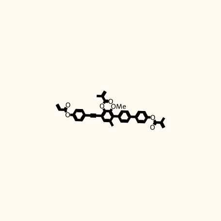 C=CC(=O)Oc1ccc(C#Cc2cc(C)c(-c3ccc(-c4ccc(OC(=O)C(=C)C)cc4)cc3)c(OC)c2OC(=O)C(=C)C)cc1